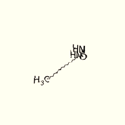 CCCCCCCCCCCCCCCCCCNC(=O)C1CN1